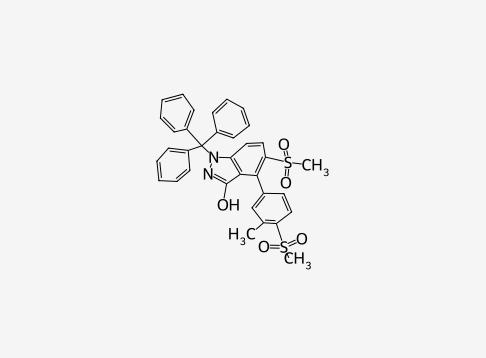 Cc1cc(-c2c(S(C)(=O)=O)ccc3c2c(O)nn3C(c2ccccc2)(c2ccccc2)c2ccccc2)ccc1S(C)(=O)=O